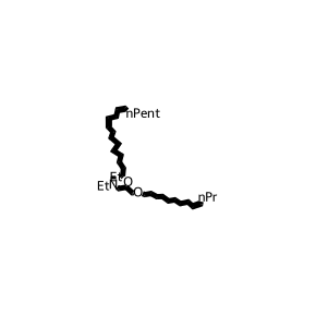 CCC/C=C\CCCCCCCCOCC(CN(CC)CC)OCCCCCCCC/C=C\C/C=C\CCCCC